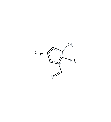 C=C[n+]1cccc(C)c1N.Cl.[Cl-]